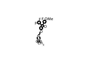 COc1ccc(C2=C(c3cc(F)cc(F)c3)c3ccc(OCCCN4CCN(S(C)(=O)=O)CC4)cc3C2=O)cc1F